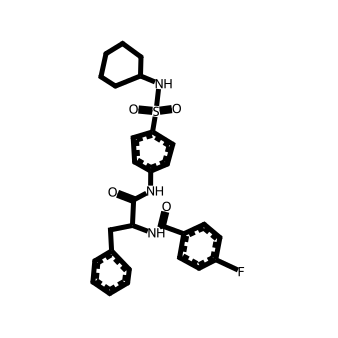 O=C(NC(Cc1ccccc1)C(=O)Nc1ccc(S(=O)(=O)NC2CCCCC2)cc1)c1ccc(F)cc1